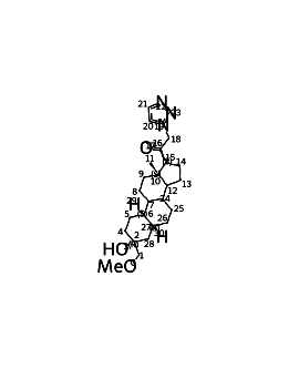 COC[C@@]1(O)CC[C@@H]2C3CC[C@@]4(C)C(CC[C@@H]4C(=O)Cn4ccnn4)C3CC[C@@H]2C1